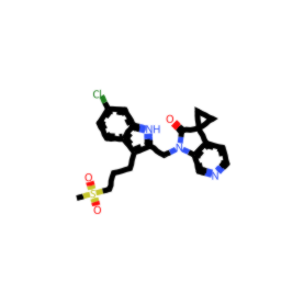 CS(=O)(=O)CCCc1c(CN2C(=O)C3(CC3)c3ccncc32)[nH]c2cc(Cl)ccc12